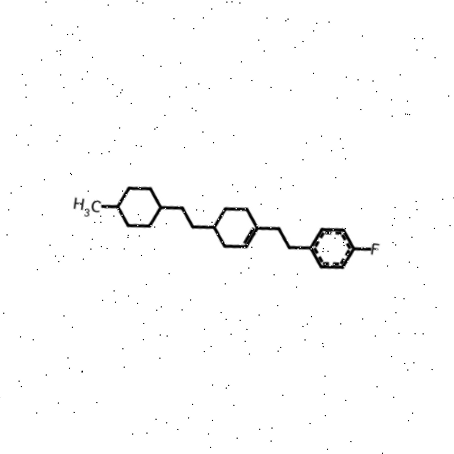 CC1CCC(CCC2CC=C(CCc3ccc(F)cc3)CC2)CC1